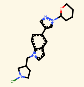 ClN1CCC(Cn2ccc3cc(-c4cnn(C5CCCCO5)c4)ccc32)C1